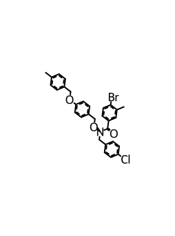 Cc1ccc(COc2ccc(CON(Cc3ccc(Cl)cc3)C(=O)c3ccc(Br)c(C)c3)cc2)cc1